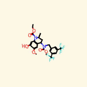 CCOC(=O)N1c2cc(O)c(OC)cc2C(N(Cc2cc(C(F)(F)F)cc(C(F)(F)F)c2)C(=O)OC)CC1C